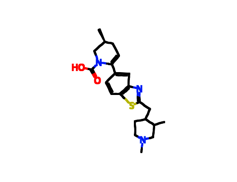 CC1CN(C)CCC1Cc1nc2cc(C3=CC[C@H](C)CN3C(=O)O)ccc2s1